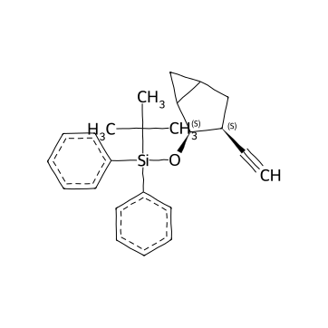 C#C[C@@H]1CC2CC2[C@@H]1O[Si](c1ccccc1)(c1ccccc1)C(C)(C)C